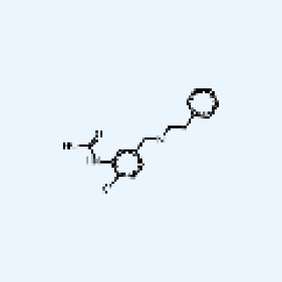 O=C(O)Nc1cc(CNCCc2ccccc2)ccc1Cl